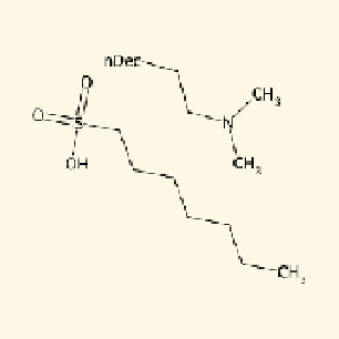 CCCCCCCCCCCCN(C)C.CCCCCCCS(=O)(=O)O